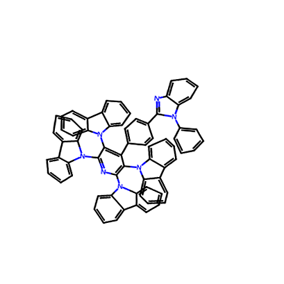 c1ccc(-n2c(-c3ccc(-c4c(-n5c6ccccc6c6ccccc65)c(-n5c6ccccc6c6ccccc65)nc(-n5c6ccccc6c6ccccc65)c4-n4c5ccccc5c5ccccc54)cc3)nc3ccccc32)cc1